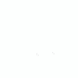 Cc1ccccc1-c1c2sc3sccc3c2nc[n+]1C